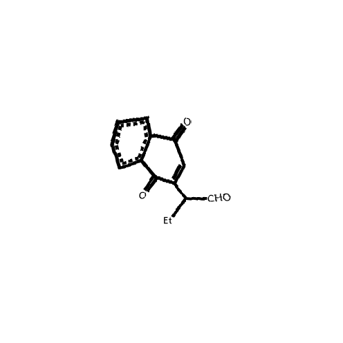 CCC(C=O)C1=CC(=O)c2ccccc2C1=O